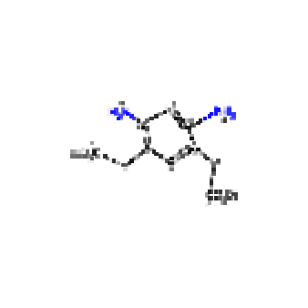 CCOC(=O)Cc1cc(CC(=O)OCC)c(N)cc1N